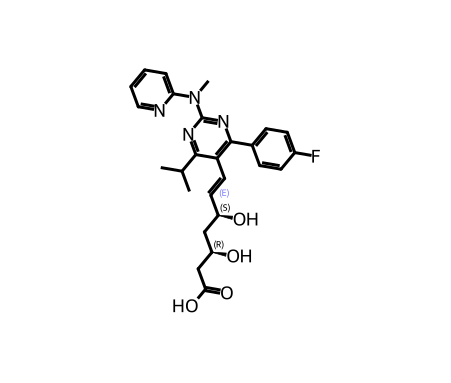 CC(C)c1nc(N(C)c2ccccn2)nc(-c2ccc(F)cc2)c1/C=C/[C@@H](O)C[C@@H](O)CC(=O)O